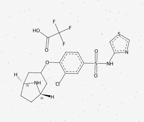 O=C(O)C(F)(F)F.O=S(=O)(Nc1cscn1)c1ccc(OC2C[C@@H]3CC[C@@H](C2)N3)c(Cl)c1